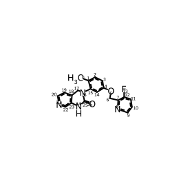 Cc1ccc(OCc2ncccc2F)cc1N1Cc2ccncc2NC1=O